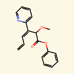 C=CC=C(c1ccccn1)C(OC)C(=O)Oc1ccccc1